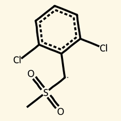 CS(=O)(=O)[CH]c1c(Cl)cccc1Cl